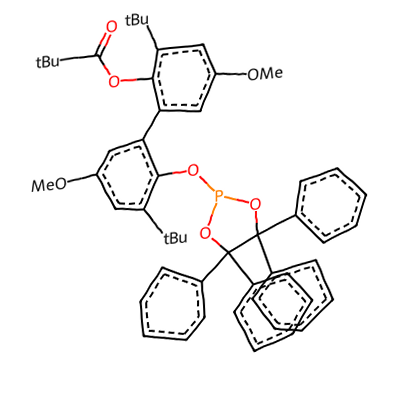 COc1cc(-c2cc(OC)cc(C(C)(C)C)c2OP2OC(c3ccccc3)(c3ccccc3)C(c3ccccc3)(c3ccccc3)O2)c(OC(=O)C(C)(C)C)c(C(C)(C)C)c1